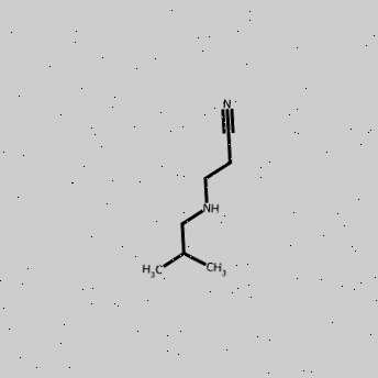 CC(C)CNCCC#N